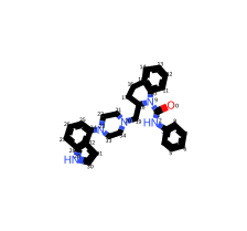 O=C(Nc1ccccc1)N1c2ccccc2CCC1CN1CCN(c2cccc3[nH]ccc23)CC1